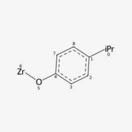 CC(C)c1ccc([O][Zr])cc1